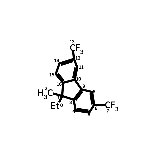 CCC1(C)c2ccc(C(F)(F)F)cc2-c2cc(C(F)(F)F)ccc21